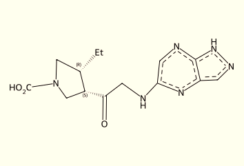 CC[C@H]1CN(C(=O)O)C[C@H]1C(=O)CNc1cnc2[nH]ncc2n1